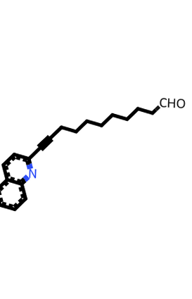 O=CCCCCCCCCC#Cc1ccc2ccccc2n1